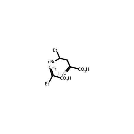 C=C(CC(CC)CCCC)C(=O)O.C=C(CC)C(=O)O